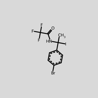 CC(I)(NC(=O)C(F)(F)F)c1ccc(Br)cc1